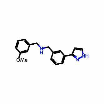 COc1cccc(CNCc2cccc(-c3cc[nH]n3)c2)c1